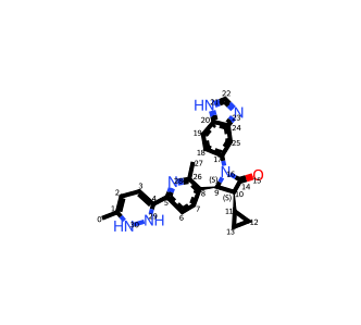 CC1=CC=C(c2ccc([C@@H]3[C@H](C4CC4)C(=O)N3c3ccc4[nH]cnc4c3)c(C)n2)NN1